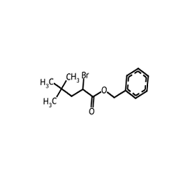 CC(C)(C)CC(Br)C(=O)OCc1ccccc1